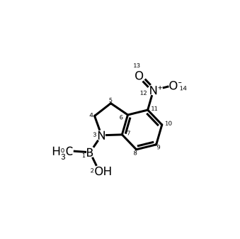 CB(O)N1CCc2c1cccc2[N+](=O)[O-]